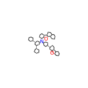 c1ccc(-c2cc(-c3ccccc3)cc(N(c3ccc(-c4ccc5c(c4)oc4ccccc45)cc3)c3cccc4c3oc3c5ccccc5ccc43)c2)cc1